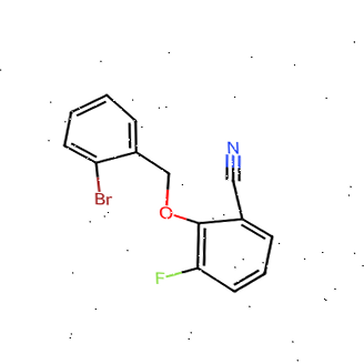 N#Cc1cccc(F)c1OCc1ccccc1Br